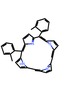 Cc1ccccc1-c1c2nc(c(-c3ccccc3C)c3ccc(cc4nc(cc5ccc1[nH]5)C=C4)[nH]3)C=C2